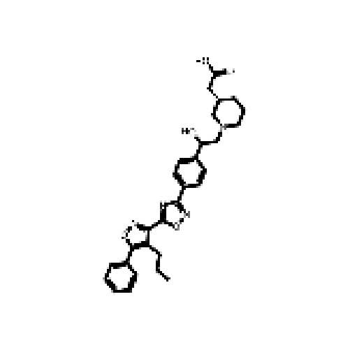 CCCc1c(-c2nc(-c3ccc(C(O)CN4CCC[C@H](CC(=O)O)C4)cc3)no2)noc1-c1ccccc1